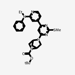 CCN(c1ccccc1)c1cc(-c2cc(N3CC4CC3CN4C(=O)OC(C)(C)C)nc(SC)n2)ccn1